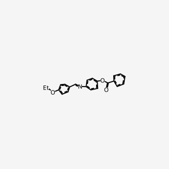 CCOc1ccc(C=Nc2ccc(OC(=O)c3ccccc3)cc2)cc1